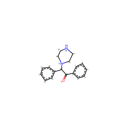 O=C(c1ccccc1)C(c1ccccc1)N1CCNCC1